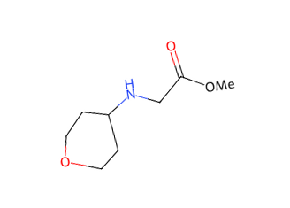 COC(=O)CNC1CCOCC1